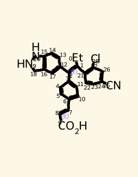 CC/C(=C(/c1ccc(/C=C/C(=O)O)cc1)c1ccc2c(c1)CNN2)c1ccc(C#N)cc1Cl